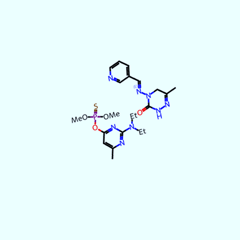 CC1=NNC(=O)N(/N=C/c2cccnc2)C1.CCN(CC)c1nc(C)cc(OP(=S)(OC)OC)n1